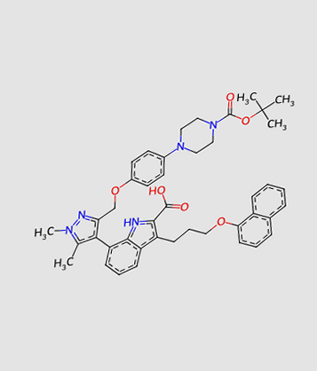 Cc1c(-c2cccc3c(CCCOc4cccc5ccccc45)c(C(=O)O)[nH]c23)c(COc2ccc(N3CCN(C(=O)OC(C)(C)C)CC3)cc2)nn1C